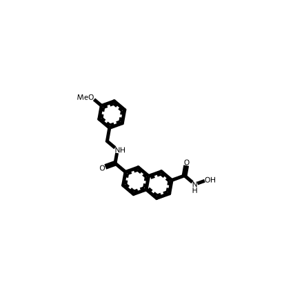 COc1cccc(CNC(=O)c2ccc3ccc(C(=O)NO)cc3c2)c1